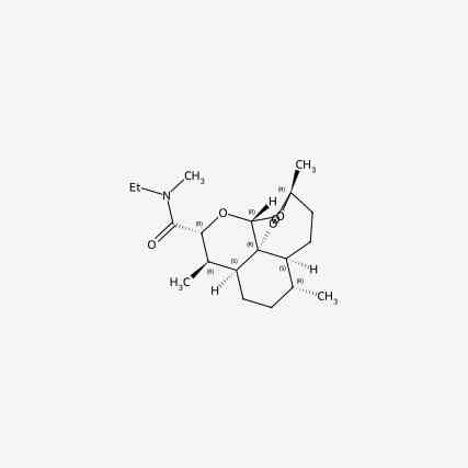 CCN(C)C(=O)[C@@H]1O[C@@H]2O[C@@]3(C)CC[C@H]4[C@H](C)CC[C@@H]([C@H]1C)[C@@]24OO3